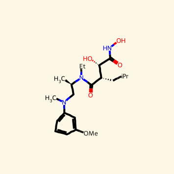 CCN(C(=O)[C@@H](CC(C)C)[C@H](O)C(=O)NO)[C@H](C)CN(C)c1cccc(OC)c1